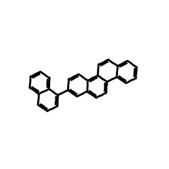 c1ccc2c(-c3ccc4c(ccc5c6ccccc6ccc45)c3)cccc2c1